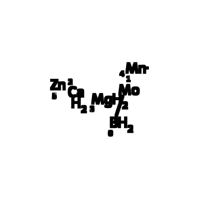 [BH2][Mo].[CaH2].[MgH2].[Mn].[Zn]